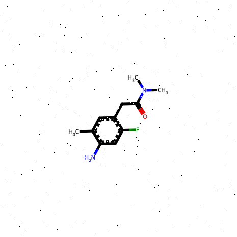 Cc1cc(CC(=O)N(C)C)c(F)cc1N